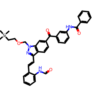 C[Si](C)(C)CCOCn1nc(C=Cc2ccccc2NC=O)c2ccc(C(=O)c3cccc(NC(=O)c4ccccc4)c3)cc21